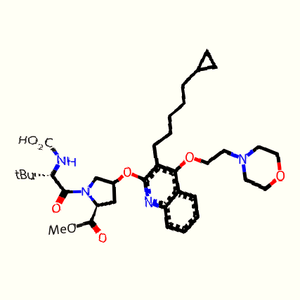 COC(=O)[C@@H]1CC(Oc2nc3ccccc3c(OCCN3CCOCC3)c2CCCCCC2CC2)CN1C(=O)[C@@H](NC(=O)O)C(C)(C)C